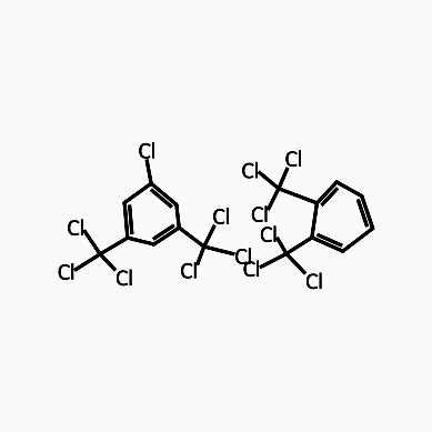 ClC(Cl)(Cl)c1ccccc1C(Cl)(Cl)Cl.Clc1cc(C(Cl)(Cl)Cl)cc(C(Cl)(Cl)Cl)c1